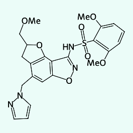 COCC1Cc2c(Cn3cccn3)cc3onc(NS(=O)(=O)c4c(OC)cccc4OC)c3c2O1